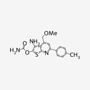 COCc1cc(-c2ccc(C)cc2)nc2sc(OC(N)=O)c(N)c12